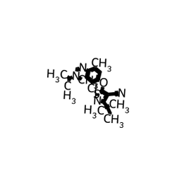 CCC(C)(C)c1nsc(Oc2cc(C)c(/N=C\N(C)C(C)C)cc2Cl)c1C#N